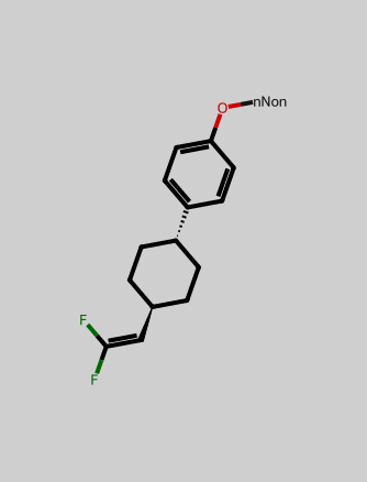 CCCCCCCCCOc1ccc([C@H]2CC[C@H](C=C(F)F)CC2)cc1